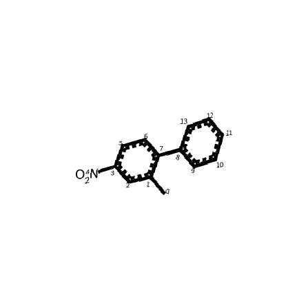 Cc1cc([N+](=O)[O-])ccc1-c1ccccc1